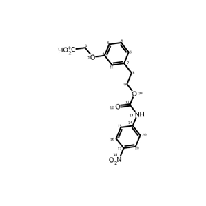 O=C(O)COc1cccc(CCOC(=O)Nc2ccc([N+](=O)[O-])cc2)c1